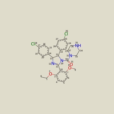 CCOc1cccc(OC)c1C1=NC(c2ccc(Cl)cc2)C(c2ccc(Cl)cc2)N1C(=O)N1CCNCC1